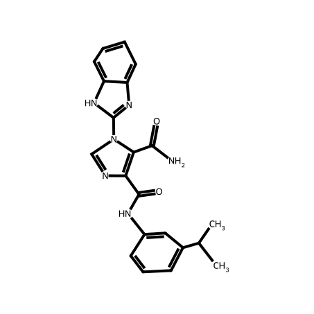 CC(C)c1cccc(NC(=O)c2ncn(-c3nc4ccccc4[nH]3)c2C(N)=O)c1